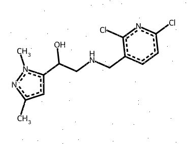 Cc1cc(C(O)CNCc2ccc(Cl)nc2Cl)n(C)n1